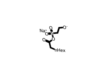 CCCCCCCC(=O)OS(=O)(=O)CC[O-].[Na+]